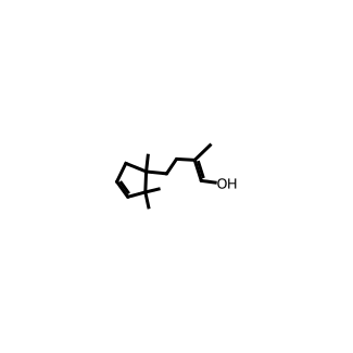 CC(=CO)CCC1(C)CC=CC1(C)C